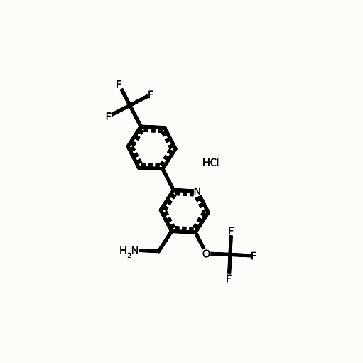 Cl.NCc1cc(-c2ccc(C(F)(F)F)cc2)ncc1OC(F)(F)F